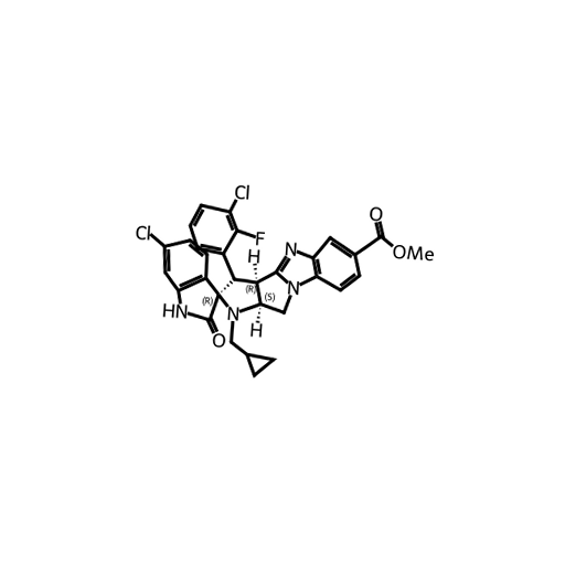 COC(=O)c1ccc2c(c1)nc1n2C[C@@H]2[C@H]1C(c1cccc(Cl)c1F)[C@@]1(C(=O)Nc3cc(Cl)ccc31)N2CC1CC1